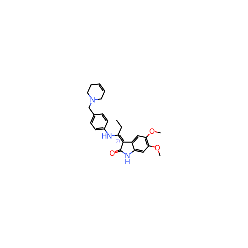 CC/C(Nc1ccc(CN2CC=CCC2)cc1)=C1/C(=O)Nc2cc(OC)c(OC)cc21